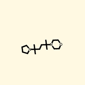 CC(C)(CCC(C)(C)N1CCOCC1)N1CCCC1